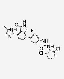 Cc1cnc(-c2ccc(-c3ccc(NC(=O)Nc4c(Cl)cccc4Cl)cc3F)c3c2C(=O)NC3)[nH]1